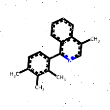 Cc1ccc(-c2ncc(C)c3ccccc23)c(C)c1C